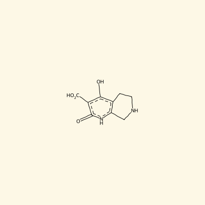 O=C(O)c1c(O)c2c([nH]c1=O)CNCC2